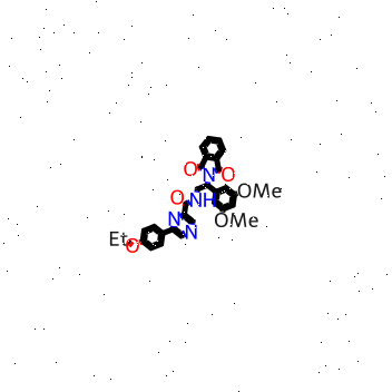 CCOc1ccc(-c2cncc(C(=O)NCC(c3cc(OC)cc(OC)c3)N3C(=O)c4ccccc4C3=O)n2)cc1